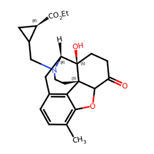 CCOC(=O)[C@@H]1CC1CN1CC[C@]23c4c5ccc(C)c4OC2C(=O)CC[C@@]3(O)[C@H]1C5